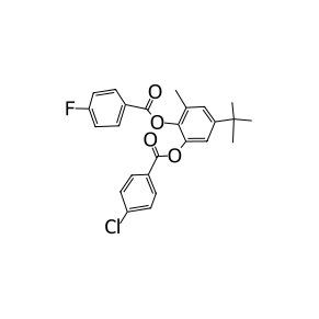 Cc1cc(C(C)(C)C)cc(OC(=O)c2ccc(Cl)cc2)c1OC(=O)c1ccc(F)cc1